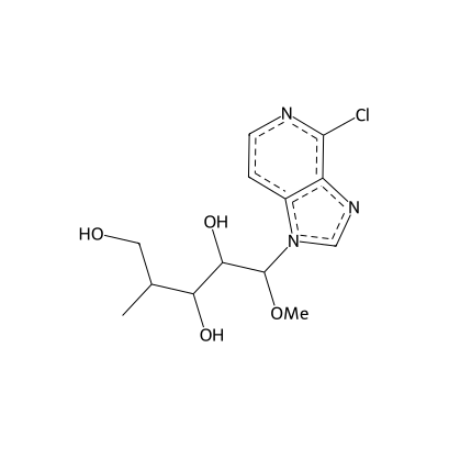 COC(C(O)C(O)C(C)CO)n1cnc2c(Cl)nccc21